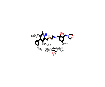 CCOC(=O)C1=C(C)NC(CSCCNCc2cc(OC)cc(CN3CCOCC3)c2O)=C(C(=O)OCC)C1c1cccc([N+](=O)[O-])c1.O.O=C(O)/C=C/C(=O)O.O=C(O)/C=C/C(=O)O